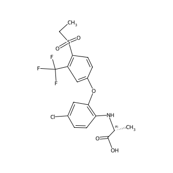 CCS(=O)(=O)c1ccc(Oc2cc(Cl)ccc2N[C@H](C)C(=O)O)cc1C(F)(F)F